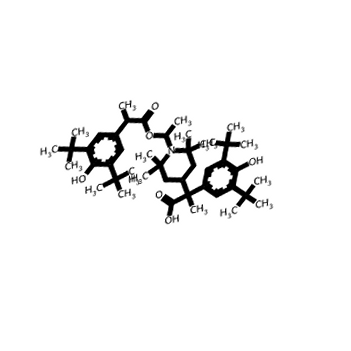 CC(C(=O)OC(C)N1C(C)(C)CC(C(C)(C(=O)O)c2cc(C(C)(C)C)c(O)c(C(C)(C)C)c2)CC1(C)C)c1cc(C(C)(C)C)c(O)c(C(C)(C)C)c1